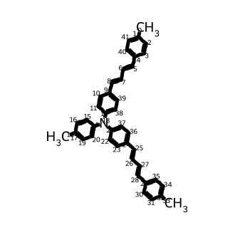 Cc1ccc(C=CC=Cc2ccc(N(c3ccc(C)cc3)c3ccc(C=CC=Cc4ccc(C)cc4)cc3)cc2)cc1